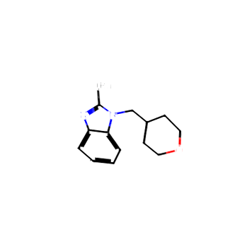 CC(C)(C)c1nc2c[c]ccc2n1CC1CCOCC1